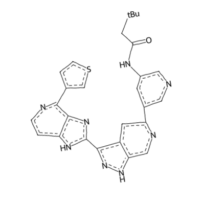 CC(C)(C)CC(=O)Nc1cncc(-c2cc3c(-c4nc5c(-c6ccsc6)nccc5[nH]4)n[nH]c3cn2)c1